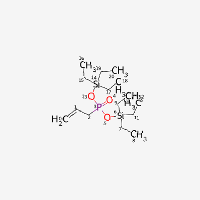 C=CCP(=O)(O[Si](CC)(CC)CC)O[Si](CC)(CC)CC